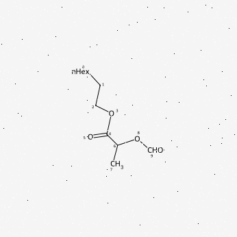 CCCCCCCCOC(=O)C(C)O[C]=O